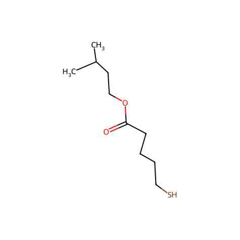 CC(C)CCOC(=O)CCCCS